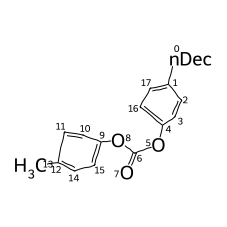 CCCCCCCCCCc1ccc(OC(=O)Oc2ccc(C)cc2)cc1